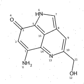 NC1=CC(=O)c2[nH]cc3cc(CO)nc1c23